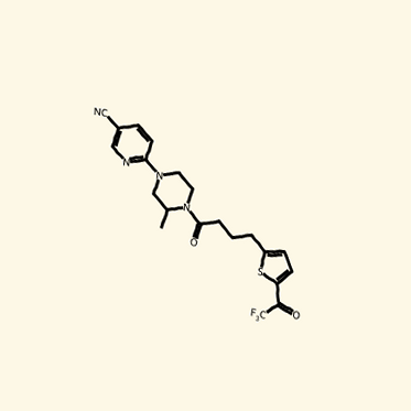 CC1CN(c2ccc(C#N)cn2)CCN1C(=O)CCCc1ccc(C(=O)C(F)(F)F)s1